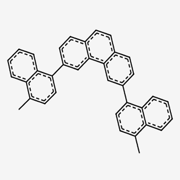 Cc1ccc(-c2ccc3ccc4ccc(-c5ccc(C)c6ccccc56)cc4c3c2)c2ccccc12